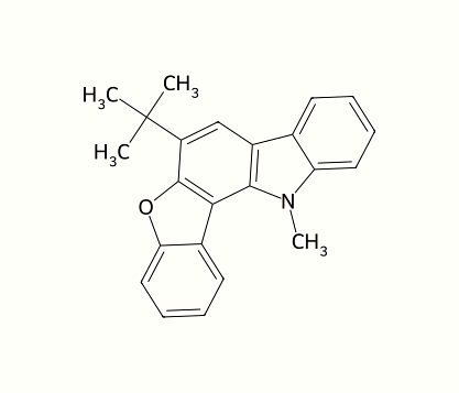 Cn1c2ccccc2c2cc(C(C)(C)C)c3oc4ccccc4c3c21